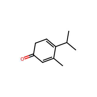 CC1=CC(=O)CC=C1C(C)C